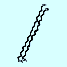 CCCCCC=CCC=CCC=CCC=CCCCCO.CCCCCCCCC=CCCCCCCCCCCCCO